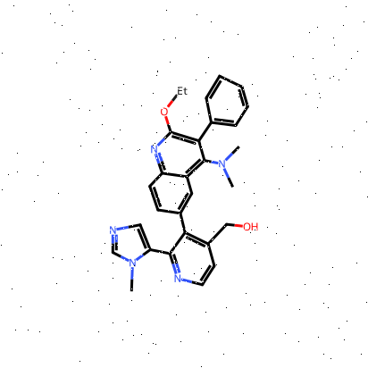 CCOc1nc2ccc(-c3c(CO)ccnc3-c3cncn3C)cc2c(N(C)C)c1-c1ccccc1